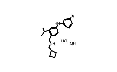 CC(C)c1cc(Nc2cccc(Br)c2)ncc1CNCC1CCC1.Cl.Cl